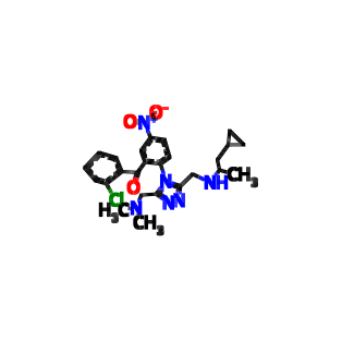 CC(CC1CC1)NCc1nnc(CN(C)C)n1-c1ccc([N+](=O)[O-])cc1C(=O)c1ccccc1Cl